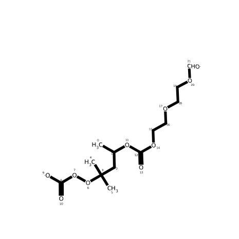 CC(CC(C)(C)OOC([O])=O)OC(=O)OCCOCCO[C]=O